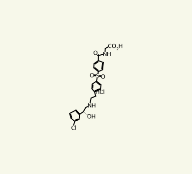 Cl.O=C(O)CNC(=O)c1ccc(S(=O)(=O)c2ccc(CCNC[C@H](O)c3cccc(Cl)c3)cc2)cc1